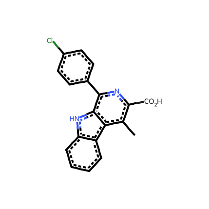 Cc1c(C(=O)O)nc(-c2ccc(Cl)cc2)c2[nH]c3ccccc3c12